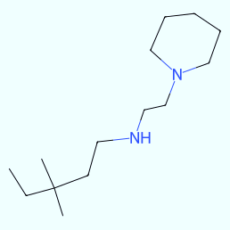 CCC(C)(C)CCNCCN1CCCCC1